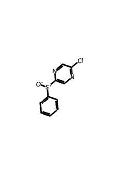 [O-][S+](c1ccccc1)c1cnc(Cl)cn1